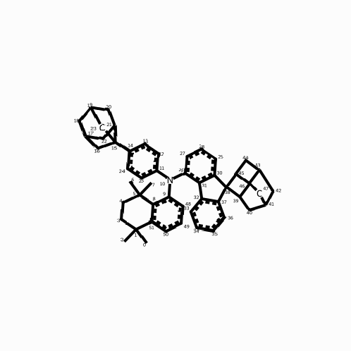 CC1(C)CCC(C)(C)c2c(N(c3ccc(C45CC6CC(CC4C6)C5)cc3)c3cccc4c3-c3ccccc3C43C4CC5CC6CC3C64C5)cccc21